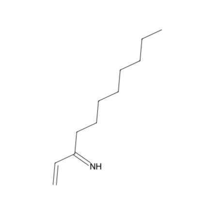 C=CC(=N)CCCCCCCC